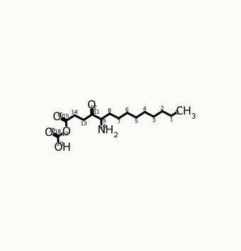 CCCCCCCCCC(N)C(=O)CCC(=O)OC(=O)O